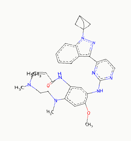 C=CC(=O)Nc1cc(Nc2nccc(-c3nn(C45CC(C4)C5)c4ccccc34)n2)c(OC)cc1N(C)CCN(C)C